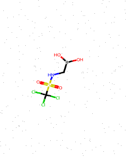 O=S(=O)(NCB(O)O)C(Cl)(Cl)Cl